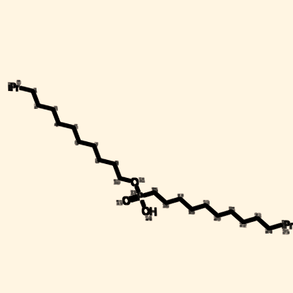 CC(C)CCCCCCCCCCOP(=O)(O)CCCCCCCCCCC(C)C